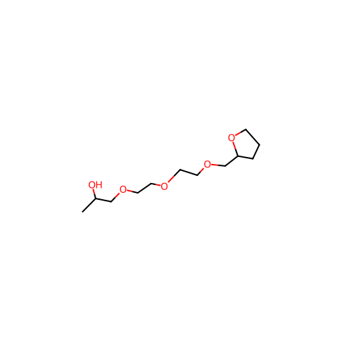 CC(O)COCCOCCOCC1CCCO1